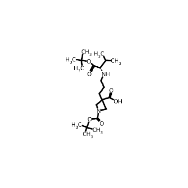 CC(C)[C@H](NCCCC1(C(=O)O)CN(C(=O)OC(C)(C)C)C1)C(=O)OC(C)(C)C